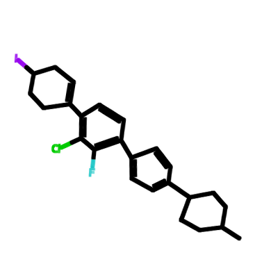 CC1CCC(c2ccc(-c3ccc(C4=CCC(I)CC4)c(Cl)c3F)cc2)CC1